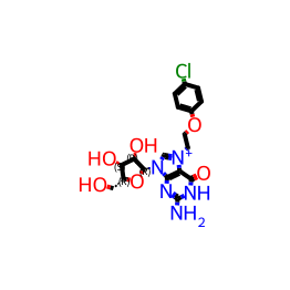 Nc1nc2c(c(=O)[nH]1)[n+](CCOc1ccc(Cl)cc1)cn2[C@@H]1O[C@H](CO)[C@@H](O)[C@H]1O